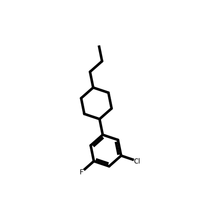 CCCC1CCC(c2cc(F)cc(Cl)c2)CC1